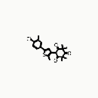 Cc1cc(-c2cc(C3C(=O)C(C)(C)C(=O)C(C)(C)C3=O)c(C)s2)ccc1Cl